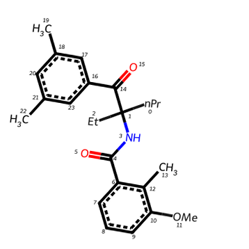 CCCC(CC)(NC(=O)c1cccc(OC)c1C)C(=O)c1cc(C)cc(C)c1